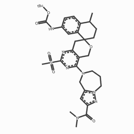 CC1CCC2(Cc3nc(S(C)(=O)=O)nc(N4CCCn5nc(C(=O)N(C)C)cc5C4)c3CO2)c2cc(NC(=O)OC(C)(C)C)ccc21